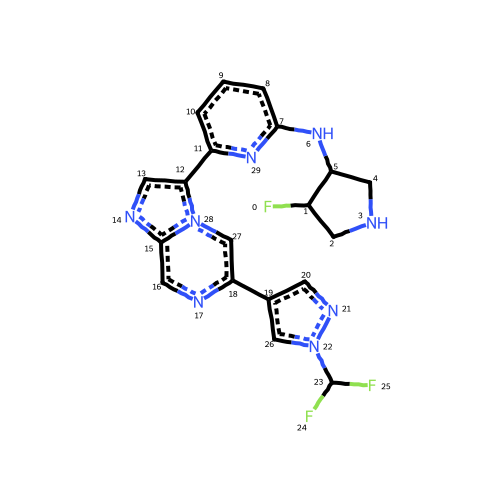 FC1CNCC1Nc1cccc(-c2cnc3cnc(-c4cnn(C(F)F)c4)cn23)n1